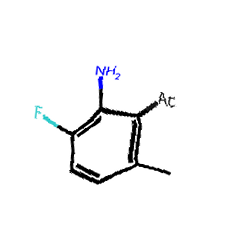 CC(=O)c1c(C)ccc(F)c1N